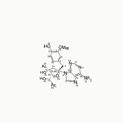 COc1cc(C[C@]2(n3cnc4c(N)ncnc43)C[C@@](O)(C(C)=O)[C@@H](C(O)C(C)=O)O2)ccc1O